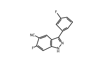 N#Cc1cc2c(-c3cccc(F)c3)n[nH]c2cc1F